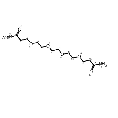 CNC(=O)CCOCCOCCOCCOCCC(N)=O